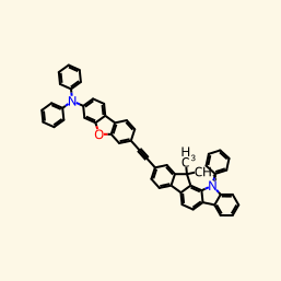 CC1(C)c2cc(C#Cc3ccc4c(c3)oc3cc(N(c5ccccc5)c5ccccc5)ccc34)ccc2-c2ccc3c4ccccc4n(-c4ccccc4)c3c21